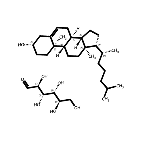 CC(C)CCC[C@@H](C)[C@H]1CC[C@H]2[C@@H]3CC=C4C[C@@H](O)CC[C@]4(C)[C@H]3CC[C@]12C.O=C[C@@H](O)[C@@H](O)[C@H](O)[C@H](O)CO